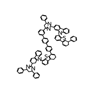 C1=Cc2c(sc3c(-n4c5ccccc5c5ccc(C6=NC(c7ccccc7)CC(c7cccc(-c8ccc(-c9ccc(C%10=CCCc%11c%10sc%10c(-n%12c%13c(c%14ccccc%14%12)C=CC(C%12=NC(c%14ccccc%14)CC(c%14ccccc%14)=N%12)C%13)cccc%11%10)cc9)cc8)c7)=N6)cc54)cccc23)C(c2ccccc2)C1